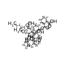 CCCCC[C@]1(OC)C=C2C(c3ccccc3)(C=C1OC)N1C(=O)C[C@@H]3OCC=C4CN5CC[C@]26[C@@H]5C[C@@H]4[C@@H]3[C@H]16.O=C(O)c1ccccc1C(=O)O